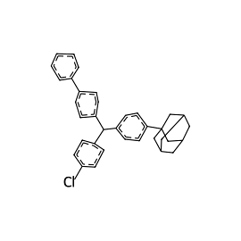 Clc1ccc(C(c2ccc(-c3ccccc3)cc2)c2ccc(C34CC5CC(CC(C5)C3)C4)cc2)cc1